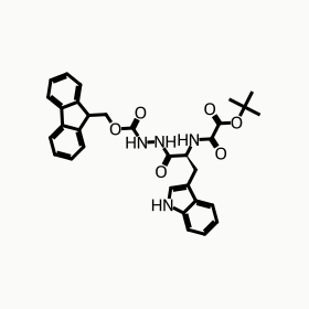 CC(C)(C)OC(=O)C(=O)N[C@@H](Cc1c[nH]c2ccccc12)C(=O)NNC(=O)OCC1c2ccccc2-c2ccccc21